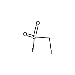 O=S(=O)(F)CI